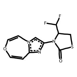 O=C1SCC(C(F)F)N1c1cn2c(n1)C=COC=C2